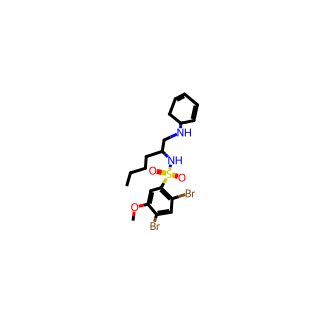 CCCCC(CNC1C=CC=CC1)NS(=O)(=O)c1cc(OC)c(Br)cc1Br